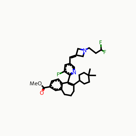 COC(=O)c1ccc2c(c1)CCCC(C1CCC(C)(C)CC1)=C2c1ncc(C=C2CN(CCC(F)F)C2)cc1F